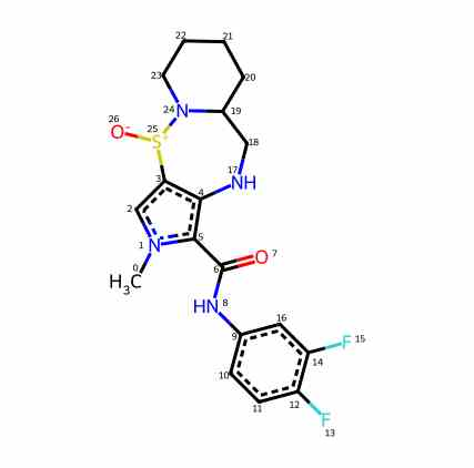 Cn1cc2c(c1C(=O)Nc1ccc(F)c(F)c1)NCC1CCCCN1[S+]2[O-]